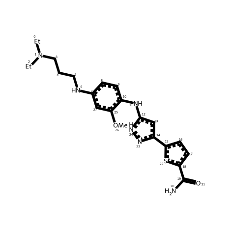 CCN(CC)CCCNc1ccc(Nc2cc(-c3ccc(C(N)=O)s3)n[nH]2)c(OC)c1